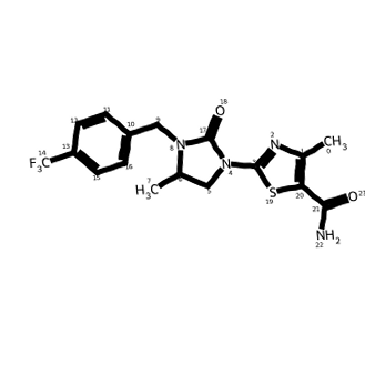 Cc1nc(N2CC(C)N(Cc3ccc(C(F)(F)F)cc3)C2=O)sc1C(N)=O